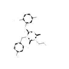 Cc1ccc(Cn2c(=O)n(CCC(=O)O)c(=O)[nH]/c2=N\c2cc(C(F)(F)F)ccc2C(F)(F)F)cc1